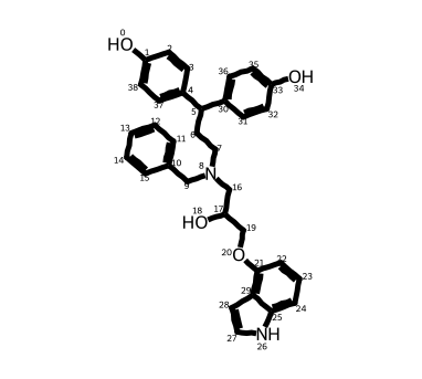 Oc1ccc(C(CCN(Cc2ccccc2)CC(O)COc2cccc3[nH]ccc23)c2ccc(O)cc2)cc1